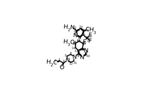 C=CC(=O)N1CCN(c2ncnc3c2C[C@H](C)[C@H](c2nc(N)cc(C)c2C(F)(F)F)C3)CC1